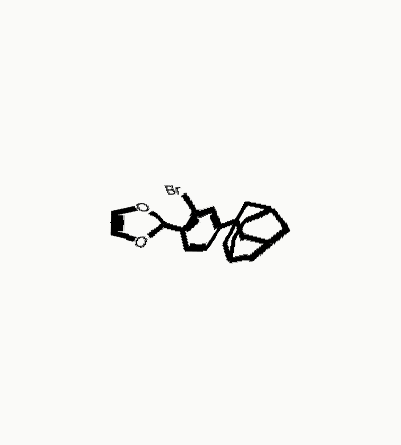 Brc1cc(C23CC4CC(CC(C4)C2)C3)ccc1C1OC=CO1